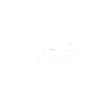 CCC(NC(CC)[Si](CC)(OC)OC)[Si](CC)(OC)OC